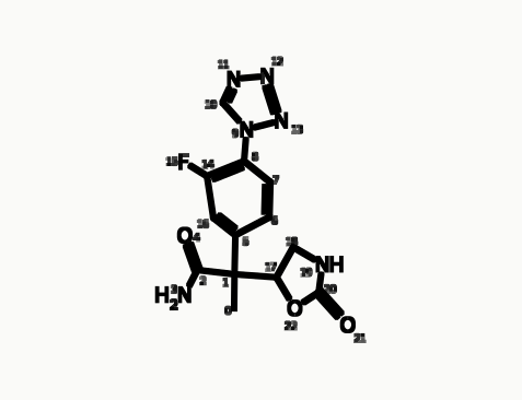 CC(C(N)=O)(c1ccc(-n2cnnn2)c(F)c1)C1CNC(=O)O1